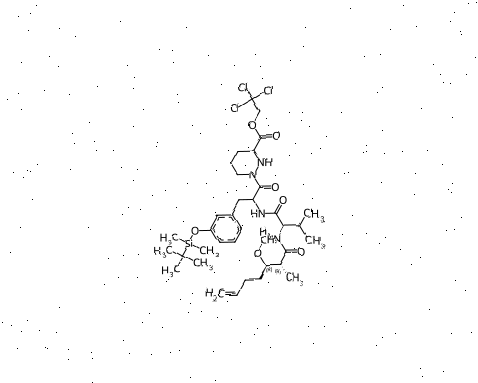 C=CCC[C@@H](OC)[C@@H](C)C(=O)NC(C(=O)NC(Cc1cccc(O[Si](C)(C)C(C)(C)C)c1)C(=O)N1CCCC(C(=O)OCC(Cl)(Cl)Cl)N1)C(C)C